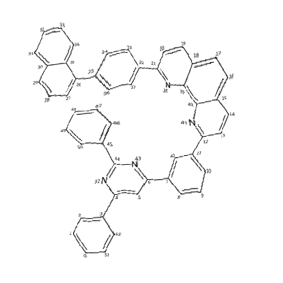 c1ccc(-c2cc(-c3cccc(-c4ccc5ccc6ccc(-c7ccc(-c8cccc9ccccc89)cc7)nc6c5n4)c3)nc(-c3ccccc3)n2)cc1